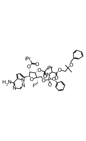 CC(C)C(=O)O[C@H]1[C@H](c2ccc3c(N)ncnn23)O[C@](CF)(COP(=O)(NC(C)C(=O)OCC(C)(C)OCc2ccccc2)Oc2ccccc2)[C@H]1OC(=O)C(C)C